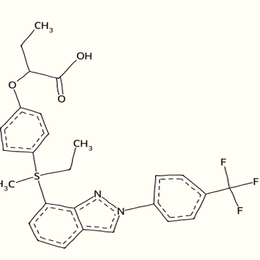 CCC(Oc1ccc(S(C)(CC)c2cccc3cn(-c4ccc(C(F)(F)F)cc4)nc23)cc1)C(=O)O